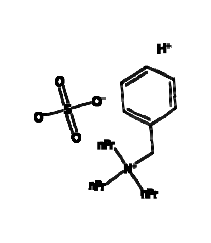 CCC[N+](CCC)(CCC)Cc1ccccc1.O=S(=O)([O-])[O-].[H+]